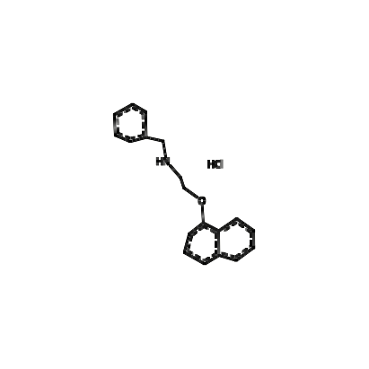 Cl.c1ccc(CNCCOc2cccc3ccccc23)cc1